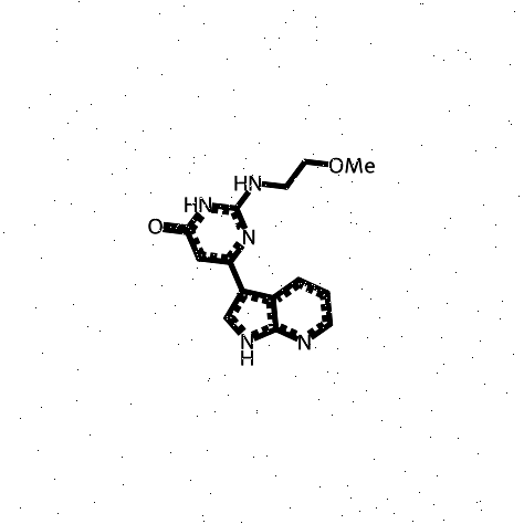 COCCNc1nc(-c2c[nH]c3ncccc23)cc(=O)[nH]1